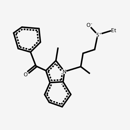 CC[S+]([O-])CCC(C)n1c(C)c(C(=O)c2ccccc2)c2ccccc21